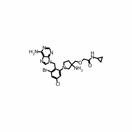 Nc1ncnc2c1ncn2Cc1c(Br)cc(Cl)cc1N1CCC(N)(COCC(=O)NC2CC2)C1